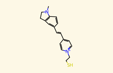 CN1CCc2cc(/C=C/c3cc[n+](CCS)cc3)ccc21